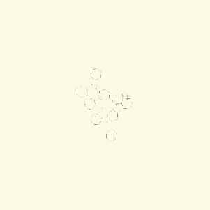 c1ccc(-c2cc3c4c(c2)c2cccnc2n4-c2ccc(N(c4ccccc4)c4ccccc4)cc2C3(c2ccccc2)c2ccccc2)cc1